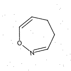 C1=CON=CCC1